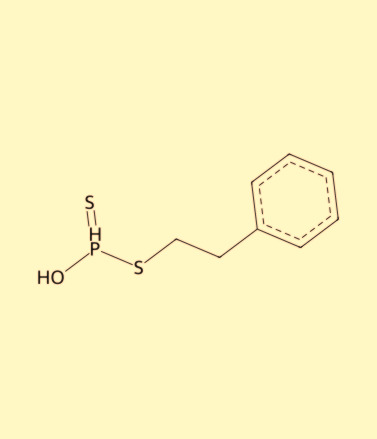 O[PH](=S)SCCc1ccccc1